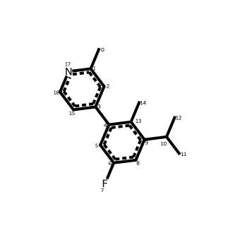 Cc1cc(-c2cc(F)cc(C(C)C)c2C)ccn1